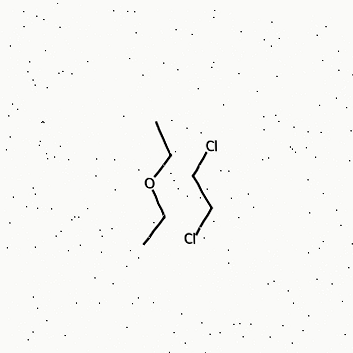 CCOCC.ClCCCl